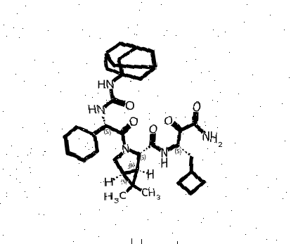 CC1(C)[C@@H]2[C@@H](C(=O)N[C@@H](CC3CCC3)C(=O)C(N)=O)N(C(=O)[C@@H](NC(=O)NC34CC5CC(CC(C5)C3)C4)C3CCCCC3)C[C@@H]21